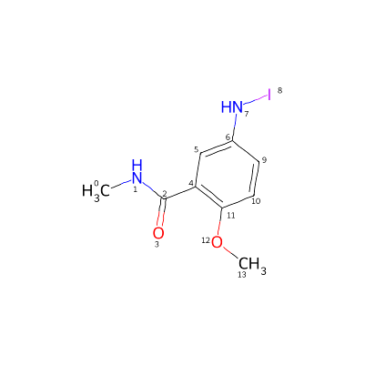 CNC(=O)c1cc(NI)ccc1OC